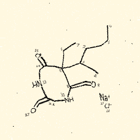 CCCC(C)C1(CC)C(=O)NC(=O)NC1=O.[Cl-].[Na+]